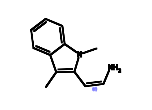 Cc1c(/C=C\N)n(C)c2ccccc12